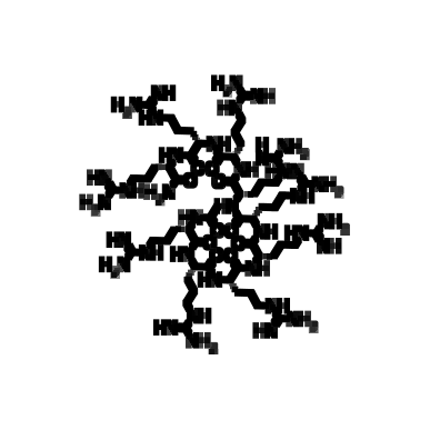 CC(=O)N[C@@H](CCCNC(=N)N)C(=O)N[C@@H](CCCNC(=N)N)C(=O)N[C@@H](CCCNC(=N)N)C(=O)N[C@@H](CCCNC(=N)N)C(=O)N[C@@H](CCCNC(=N)N)C(=O)N[C@@H](CCCNC(=N)N)C(=O)N[C@@H](CCCNC(=N)N)C(=O)N[C@@H](CCCNC(=N)N)C(=O)N[C@@H](CCCNC(=N)N)C(N)=O